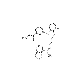 COC(=O)c1cccc(N2CC(CCN[C@H](C)c3cccc4ccccc34)Oc3c(F)cccc32)c1